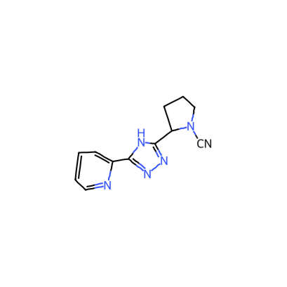 N#CN1CCCC1c1nnc(-c2ccccn2)[nH]1